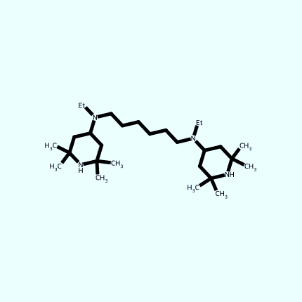 CCN(CCCCCCN(CC)C1CC(C)(C)NC(C)(C)C1)C1CC(C)(C)NC(C)(C)C1